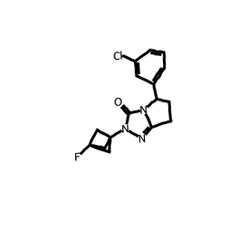 O=c1n(C23CC(F)(C2)C3)nc2n1C(c1cccc(Cl)c1)CC2